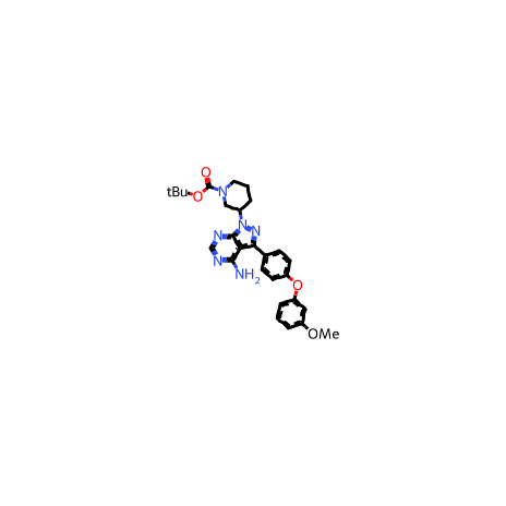 COc1cccc(Oc2ccc(-c3nn(C4CCCN(C(=O)OC(C)(C)C)C4)c4ncnc(N)c34)cc2)c1